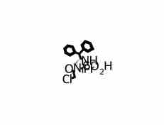 CC(C)N(C[C@@H](NC(=O)O)C(c1ccccc1)c1ccccc1)C(=O)CCl